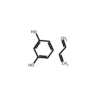 C=CC=C.Oc1cccc(O)c1